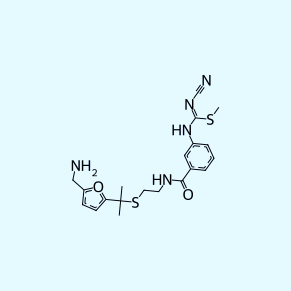 CSC(=NC#N)Nc1cccc(C(=O)NCCSC(C)(C)c2ccc(CN)o2)c1